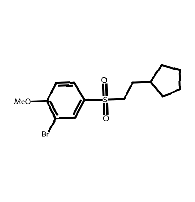 COc1ccc(S(=O)(=O)CCC2CCCC2)cc1Br